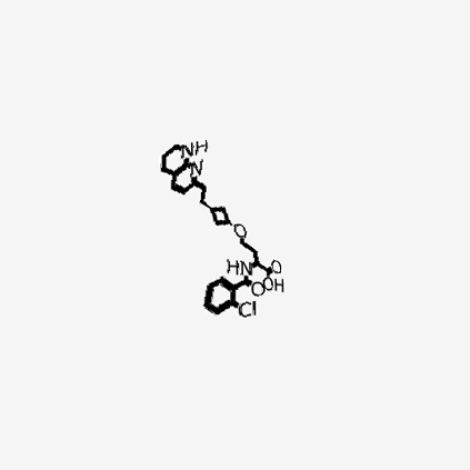 O=C(NC(CCO[C@H]1C[C@H](CCc2ccc3c(n2)NCCC3)C1)C(=O)O)c1ccccc1Cl